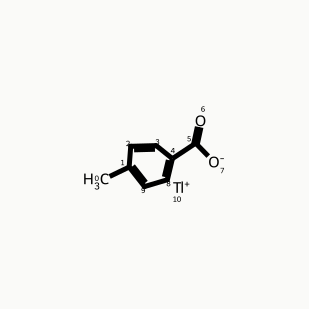 Cc1ccc(C(=O)[O-])cc1.[Tl+]